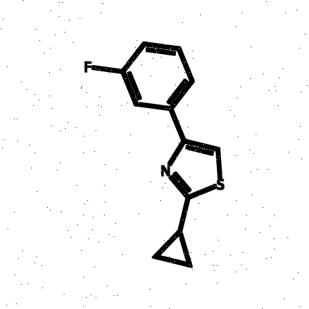 Fc1cccc(-c2csc(C3CC3)n2)c1